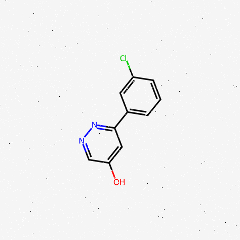 Oc1cnnc(-c2cccc(Cl)c2)c1